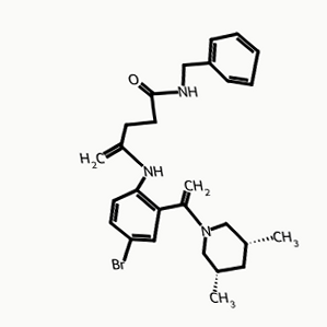 C=C(CCC(=O)NCc1ccccc1)Nc1ccc(Br)cc1C(=C)N1C[C@H](C)C[C@H](C)C1